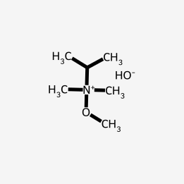 CO[N+](C)(C)C(C)C.[OH-]